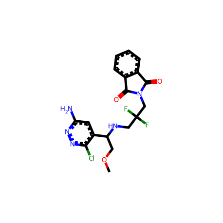 COCC(NCC(F)(F)CN1C(=O)c2ccccc2C1=O)c1cc(N)nnc1Cl